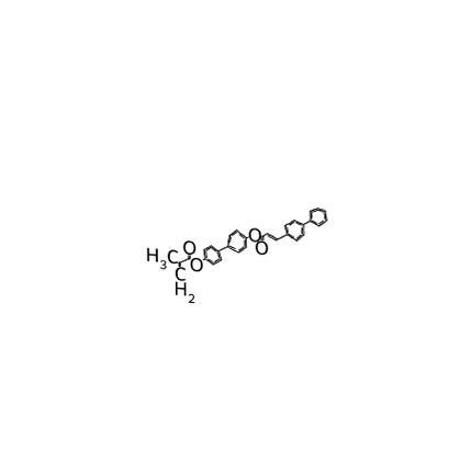 C=C(C)C(=O)Oc1ccc(-c2ccc(OC(=O)/C=C/c3ccc(-c4ccccc4)cc3)cc2)cc1